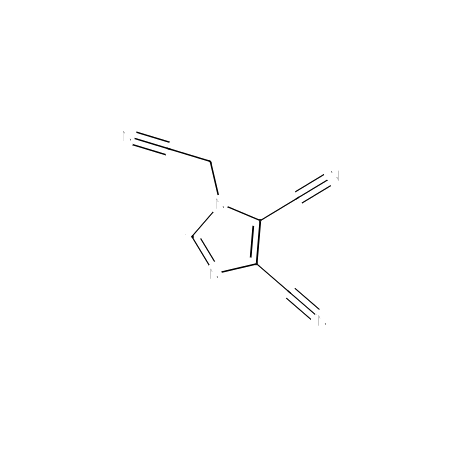 N#CCn1cnc(C#N)c1C#N